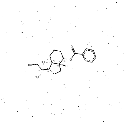 C[C@H](CO)[C@H]1CC[C@H]2[C@@H](OC(=O)c3ccccc3)CCC[C@]12C